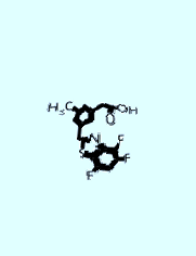 Cc1cc(CC(=O)O)cc(Cc2nc3c(F)c(F)cc(F)c3s2)c1